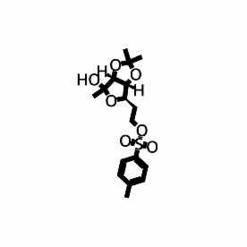 Cc1ccc(S(=O)(=O)OCC[C@H]2OC(C)(O)[C@@H]3OC(C)(C)O[C@@H]32)cc1